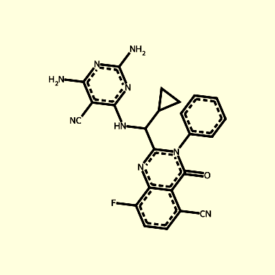 N#Cc1c(N)nc(N)nc1NC(c1nc2c(F)ccc(C#N)c2c(=O)n1-c1ccccc1)C1CC1